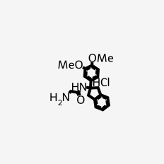 COc1ccc(C2(NC(=O)CN)Cc3ccccc3C2)cc1OC.Cl